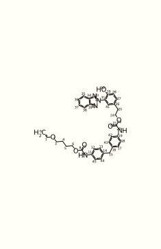 C=COCCCCOC(=O)Nc1ccc(Cc2ccc(NC(=O)OCCc3ccc(O)c(-n4nc5ccccc5n4)c3)cc2)cc1